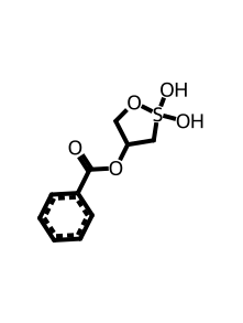 O=C(OC1COS(O)(O)C1)c1ccccc1